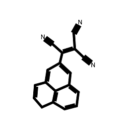 N#CC(C#N)=C(C#N)c1cc2c3c(cccc3c1)CC=C2